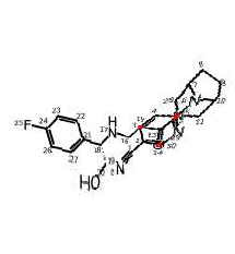 N#Cc1ccc(N2C3CCC2CN(C(=O)CCN[C@H](CO)c2ccc(F)cc2)C3)nc1